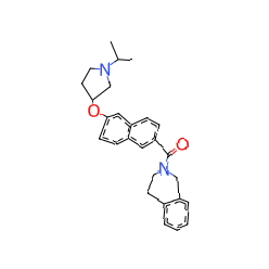 CC(C)N1CCC(Oc2ccc3cc(C(=O)N4CCc5ccccc5C4)ccc3c2)C1